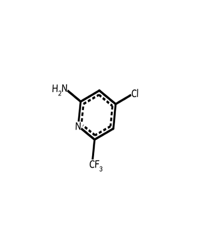 Nc1cc(Cl)cc(C(F)(F)F)n1